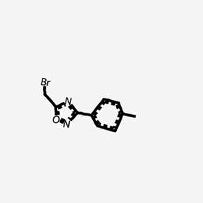 Cc1ccc(-c2noc(CBr)n2)cc1